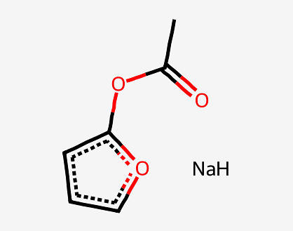 CC(=O)Oc1ccco1.[NaH]